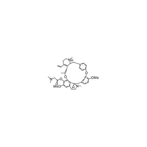 C=CC1=C2/C=C(\C)Oc3c(OC(=O)CN(C)C)c(OC)cc4c3[C@H](Cc3ccc(OC)c(c3)Oc3ccc(cc3)C[C@@H]2N(C)CC1)N(C)CC4